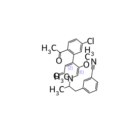 COC(=C/N(C)C(C)Cc1cccc(C#N)c1)/C(=C\C=O)c1cc(Cl)ccc1C(C)=O